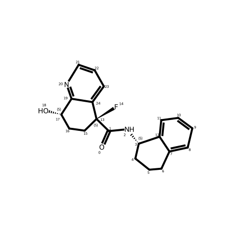 O=C(N[C@H]1CCCc2ccccc21)[C@]1(F)CC[C@H](O)c2ncccc21